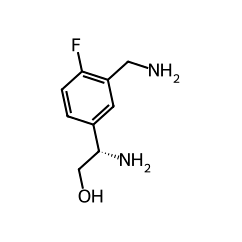 NCc1cc([C@H](N)CO)ccc1F